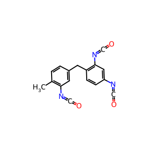 Cc1ccc(Cc2ccc(N=C=O)cc2N=C=O)cc1N=C=O